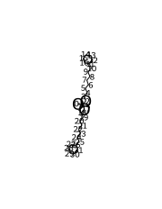 O=C(OCCCCCCCCc1ccccc1)OCCCCCCCCc1ccccc1